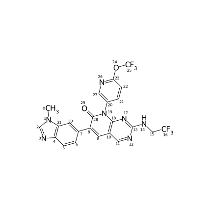 Cn1cnc2ccc(-c3cc4cnc(NCC(F)(F)F)nc4n(-c4ccc(OC(F)(F)F)nc4)c3=O)cc21